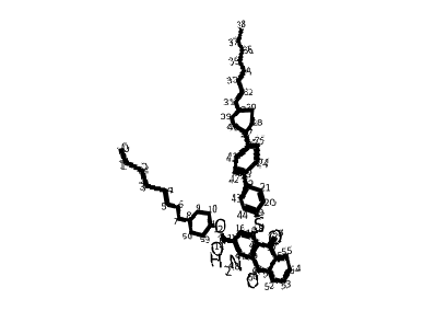 CCCCCCCCC1CCC(OC(=O)c2cc(Sc3ccc(-c4ccc(C5CCC(CCCCCCCC)CC5)cc4)cc3)c3c(c2N)C(=O)c2ccccc2C3=O)CC1